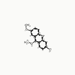 COc1ccc2nc3cc(Cl)ccc3c(OC)c2c1